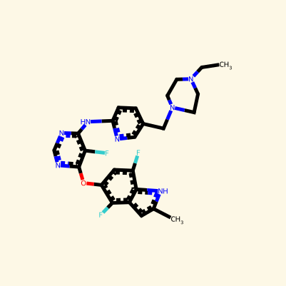 CCN1CCN(Cc2ccc(Nc3ncnc(Oc4cc(F)c5[nH]c(C)cc5c4F)c3F)nc2)CC1